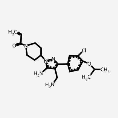 C=CC(=O)N1CCC(n2nc(-c3ccc(OC(C)C)c(Cl)c3)c(CN)c2N)CC1